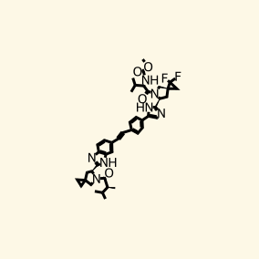 COC(=O)NC(C(=O)N1C[C@]2(C[C@H]1c1ncc(-c3ccc(C#Cc4ccc5nc([C@@H]6CC7(CC7)CN6C(=O)[C@@H](C)C(C)C)[nH]c5c4)cc3)[nH]1)CC2(F)F)C(C)C